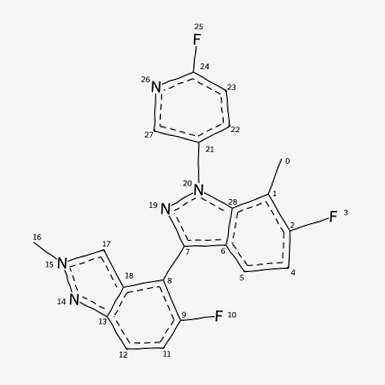 Cc1c(F)ccc2c(-c3c(F)ccc4nn(C)cc34)nn(-c3ccc(F)nc3)c12